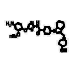 CCCCOc1cc(N)ccc1Oc1cnc(NC(=O)c2ccc(-n3cc(CN4CCC(O)CC4)c4ccccc43)cc2)s1